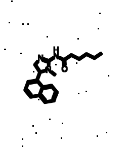 CCCCCC(=O)NC1=NCC(c2cccc3ccccc23)N1C